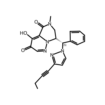 CCC#Cc1ccn([C@@H](c2ccccc2)C2CN(C)C(=O)c3c(O)c(=O)cnn32)n1